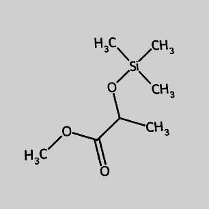 COC(=O)C(C)O[Si](C)(C)C